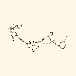 O=C(O)N[C@H]1CN[C@@H](C#Cc2cc3ncnc(Nc4ccc(OCc5cccc(F)c5)c(Cl)c4)c3s2)C1